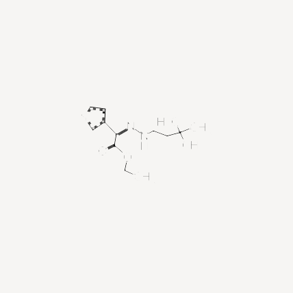 CCOC(=O)C(=NNCCC(C)(C)C)c1ccsc1